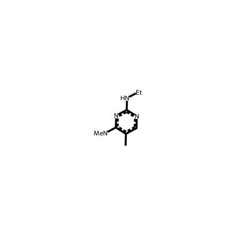 CCNc1ncc(C)c(NC)n1